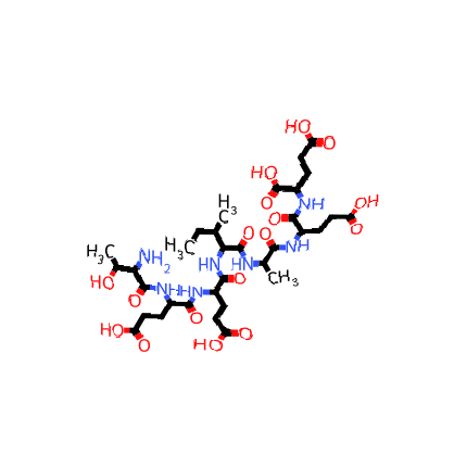 CCC(C)C(NC(=O)C(CCC(=O)O)NC(=O)C(CCC(=O)O)NC(=O)C(N)C(C)O)C(=O)NC(C)C(=O)NC(CCC(=O)O)C(=O)NC(CCC(=O)O)C(=O)O